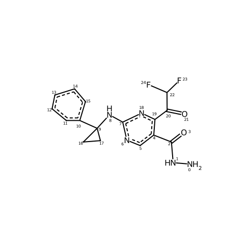 NNC(=O)c1cnc(NC2(c3ccccc3)CC2)nc1C(=O)C(F)F